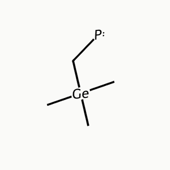 [CH3][Ge]([CH3])([CH3])[CH2][P]